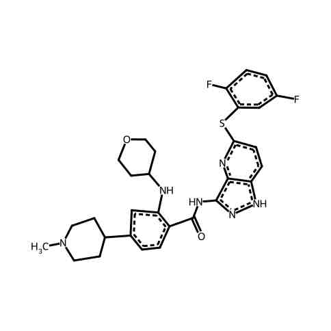 CN1CCC(c2ccc(C(=O)Nc3n[nH]c4ccc(Sc5cc(F)ccc5F)nc34)c(NC3CCOCC3)c2)CC1